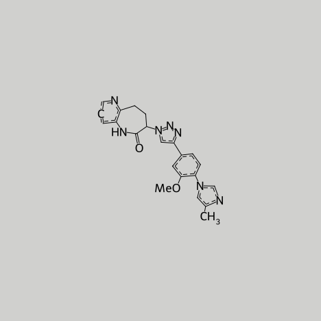 COc1cc(-c2cn(C3CCc4ncccc4NC3=O)nn2)ccc1-n1cnc(C)c1